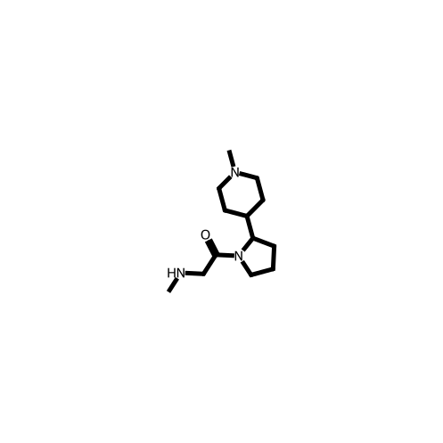 CNCC(=O)N1CCCC1C1CCN(C)CC1